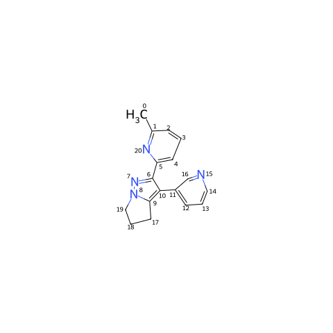 Cc1cccc(-c2nn3c(c2-c2cccnc2)CCC3)n1